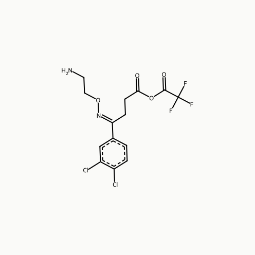 NCCON=C(CCC(=O)OC(=O)C(F)(F)F)c1ccc(Cl)c(Cl)c1